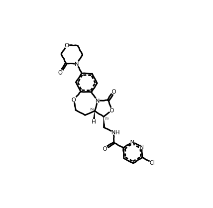 O=C(NC[C@@H]1OC(=O)N2c3ccc(N4CCOCC4=O)cc3OCC[C@@H]12)c1ccc(Cl)nn1